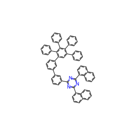 c1ccc(-c2cc(-c3cccc(-c4cccc(-c5nc(-c6cccc7ccccc67)nc(-c6cccc7ccccc67)n5)c4)c3)c(-c3ccccc3)c(-c3ccccc3)c2-c2ccccc2)cc1